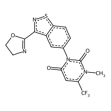 Cn1c(C(F)(F)F)cc(=O)n(-c2ccc3snc(C4=NCCO4)c3c2)c1=O